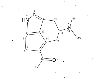 CC(=O)c1ccc2[nH]nc3c2c1CC(N(C)C)C3